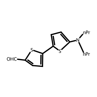 CCCN(CCC)c1ccc(-c2ccc(C=O)s2)s1